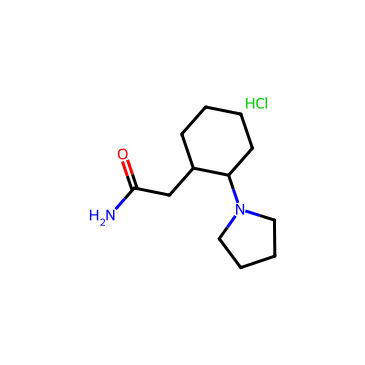 Cl.NC(=O)CC1CCCCC1N1CCCC1